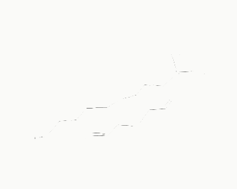 C=CCOCC=C.CCCCCCCCCCCCCCCCCCN(C)C